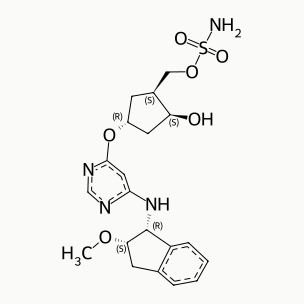 CO[C@H]1Cc2ccccc2[C@H]1Nc1cc(O[C@@H]2C[C@@H](COS(N)(=O)=O)[C@@H](O)C2)ncn1